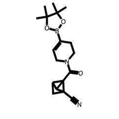 CC1(C)OB(C2=CCN(C(=O)C3C4CC3(C#N)C4)CC2)OC1(C)C